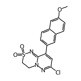 COc1ccc2cc(C3=CC(Cl)=NN4CCS(=O)(=O)N=C34)ccc2c1